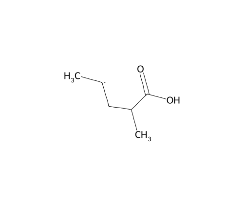 C[CH]CC(C)C(=O)O